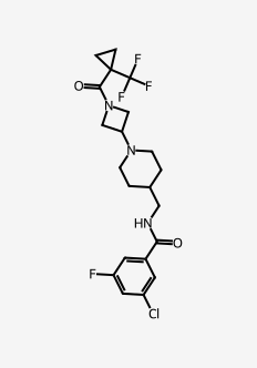 O=C(NCC1CCN(C2CN(C(=O)C3(C(F)(F)F)CC3)C2)CC1)c1cc(F)cc(Cl)c1